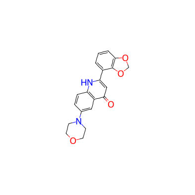 O=c1cc(-c2cccc3c2OCO3)[nH]c2ccc(N3CCOCC3)cc12